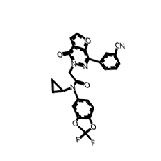 N#Cc1cccc(-c2nn(CC(=O)N(c3ccc4c(c3)OC(F)(F)O4)C3CC3)c(=O)c3ccoc23)c1